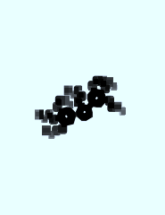 CON=C1[C@@H](c2cc(OC)c(OC)c(OC)c2)CC[C@@H]1c1cc(OC)c(OC)c(OC)c1